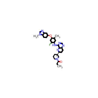 C=CC(=O)N1CCC[C@@H](c2ccc3ncnc(Nc4cc(C)c(Oc5ccc6c(c5)ncn6C)cc4F)c3n2)C1